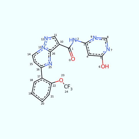 O=C(Nc1cc(O)ncn1)c1cnn2ccc(-c3ccccc3OC(F)(F)F)nc12